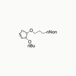 CCCCCCCCCCCCOc1cscc1OCCCC